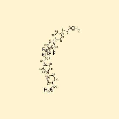 C=CCC[C@H]1CC[C@H](c2ccc(C(F)(F)OCCc3ccc([C@H]4CC[C@H](C=C)CC4)cc3)c(F)c2)CC1